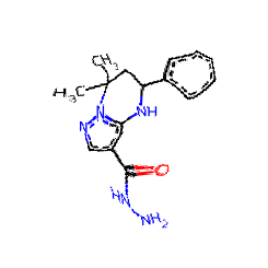 CC1(C)CC(c2ccccc2)Nc2c(C(=O)NN)cnn21